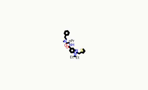 CCCC(NC(=O)c1ccc2c(c1)nc(Cc1cccs1)n2C(CC)CC)C(=O)N(C)CCc1ccccc1